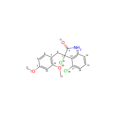 COc1ccc(CC(Cl)(C(N)=O)c2ccccc2Cl)c(OC)c1